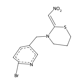 O=[N+]([O-])C=C1SCCCN1Cc1ccc(Br)nc1